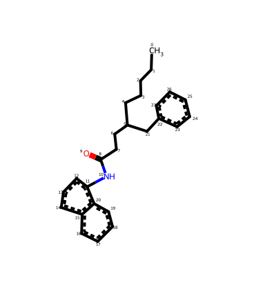 CCCCCC(CCC(=O)Nc1cccc2ccccc12)Cc1ccccc1